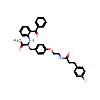 COC(=O)[C@H](Cc1ccc(OCCNC(=O)CCc2ccc(Cl)cc2)cc1)Nc1ccccc1C(=O)c1ccccc1